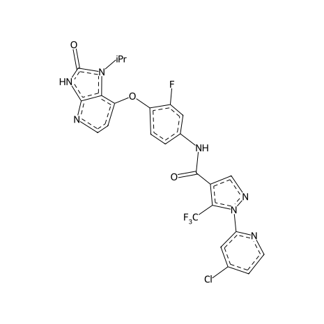 CC(C)n1c(=O)[nH]c2nccc(Oc3ccc(NC(=O)c4cnn(-c5cc(Cl)ccn5)c4C(F)(F)F)cc3F)c21